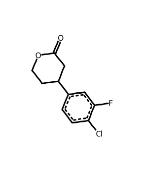 O=C1CC(c2ccc(Cl)c(F)c2)CCO1